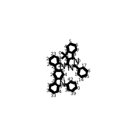 CC1(C)c2ccccc2-c2nc(-c3ccccc3)nc(-n3c4ccccc4c4cc5c6ccccc6n(-c6ccccc6)c5cc43)c21